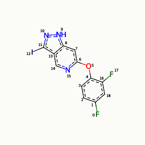 Fc1ccc(Oc2cc3[nH]nc(I)c3cn2)c(F)c1